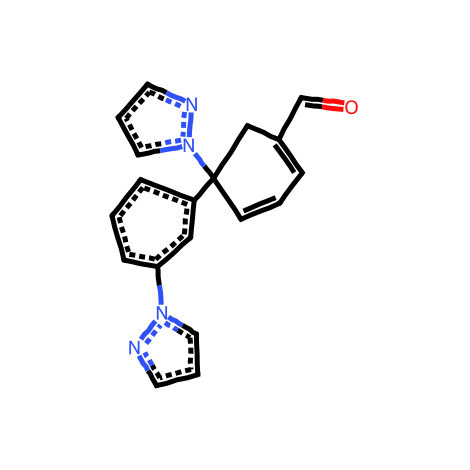 O=CC1=CC=CC(c2cccc(-n3cccn3)c2)(n2cccn2)C1